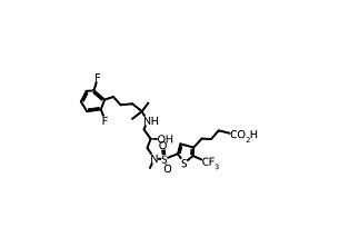 CN(C[C@H](O)CNC(C)(C)CCCc1c(F)cccc1F)S(=O)(=O)c1cc(CCCC(=O)O)c(C(F)(F)F)s1